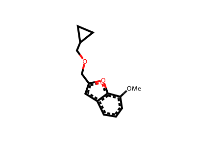 COc1cccc2cc(COCC3CC3)oc12